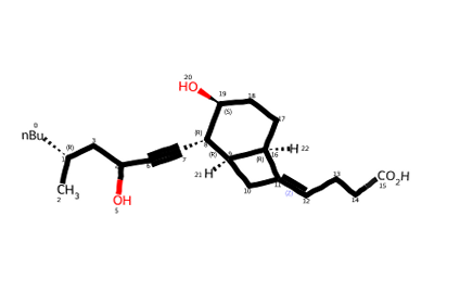 CCCC[C@@H](C)CC(O)C#C[C@H]1[C@@H]2C/C(=C/CCC(=O)O)[C@@H]2CC[C@@H]1O